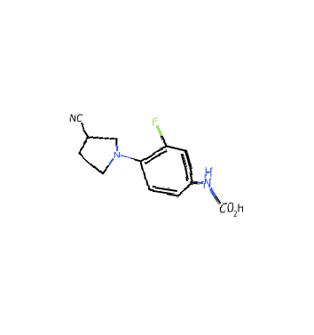 N#CC1CCN(c2ccc(NC(=O)O)cc2F)C1